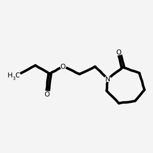 CCC(=O)OCCN1CCCCCC1=O